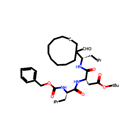 CC(C)C[C@H](NC(=O)OCc1ccccc1)C(=O)N[C@@H](CC(=O)OC(C)(C)C)C(=O)N[C@@H](CC(C)C)C1(C=O)CCCCCCCCCC1